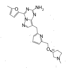 Cc1ccc(-c2nc(N)nc3c(Cc4cccc(CO[C@H]5CCN(C)C5)n4)cnn23)o1